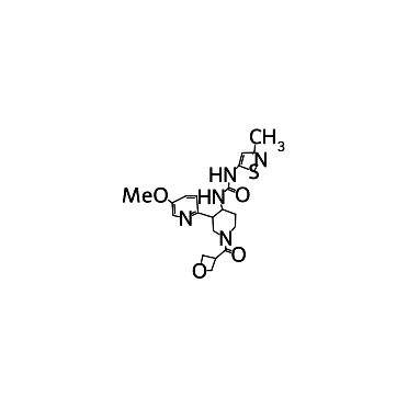 COc1ccc(C2CN(C(=O)C3COC3)CCC2NC(=O)Nc2cc(C)ns2)nc1